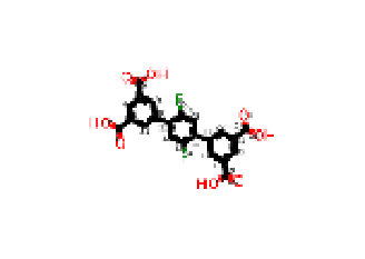 O=C(O)c1cc(C(=O)O)cc(-c2cc(F)c(-c3cc(C(=O)O)cc(C(=O)O)c3)cc2F)c1